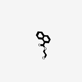 O=C(OCCCl)c1cccc2ccccc12